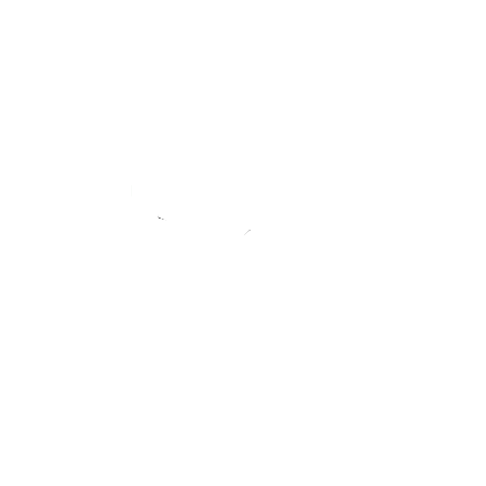 CCc1ccc([C@H]2CC[C@H]([C@H]3CC[C@H](C=CF)CC3)CC2)cc1